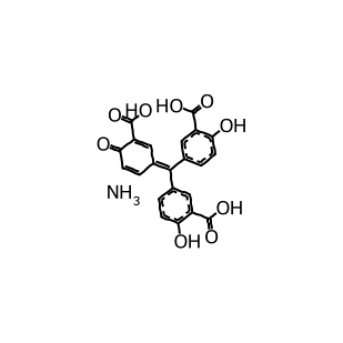 N.O=C(O)C1=CC(=C(c2ccc(O)c(C(=O)O)c2)c2ccc(O)c(C(=O)O)c2)C=CC1=O